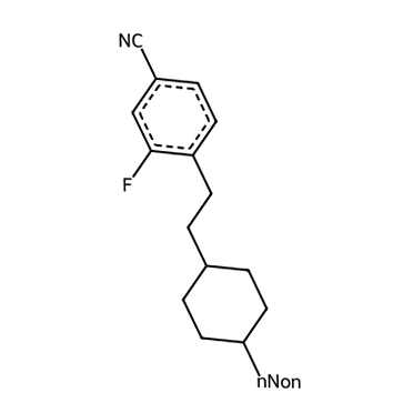 CCCCCCCCCC1CCC(CCc2ccc(C#N)cc2F)CC1